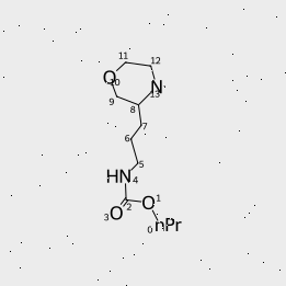 CCCOC(=O)NCCCC1COCC[N]1